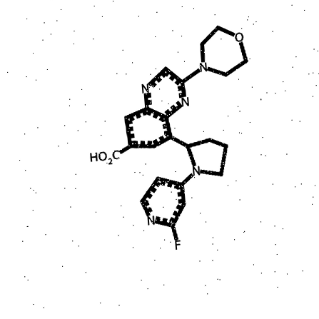 O=C(O)c1cc(C2CCCN2c2ccnc(F)c2)c2nc(N3CCOCC3)cnc2c1